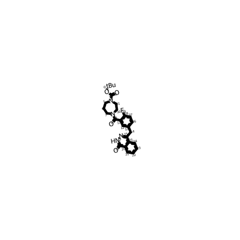 CC(C)(C)OC(=O)N1CCCN(C(=O)c2cc(Cc3n[nH]c(=O)c4ccccc34)ccc2F)CC1